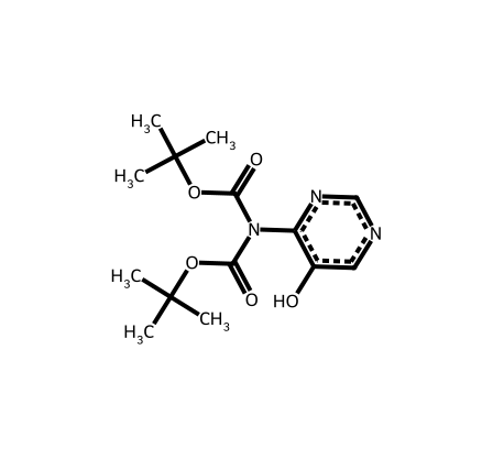 CC(C)(C)OC(=O)N(C(=O)OC(C)(C)C)c1ncncc1O